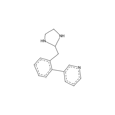 [c]1cccc(CC2NCCN2)c1-c1cccnc1